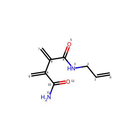 C=CCNC(=O)C(=C)C(=C)C(N)=O